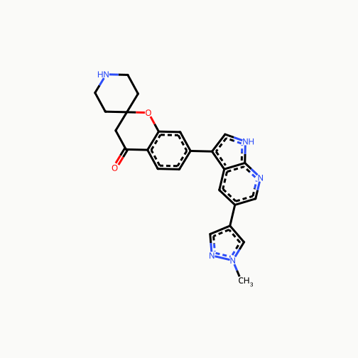 Cn1cc(-c2cnc3[nH]cc(-c4ccc5c(c4)OC4(CCNCC4)CC5=O)c3c2)cn1